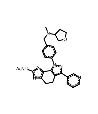 CC(=O)Nc1nc2c(s1)-c1c(c(-c3cccnc3)nn1-c1ccc(CN(C)C3CCOC3)cc1)CC2